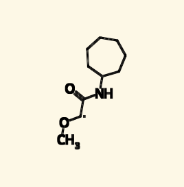 CO[CH]C(=O)NC1CCCCCC1